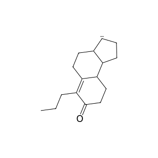 CCCC1=C2CCC3[C]CCC3C2CCC1=O